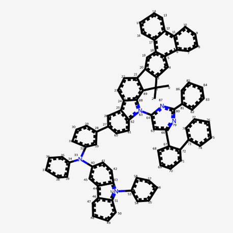 CC1(C)c2cc3c4ccccc4c4ccccc4c3cc2-c2ccc3c4cc(-c5cccc(N(c6ccccc6)c6ccc7c(c6)c6ccccc6n7-c6ccccc6)c5)ccc4n(-c4cc(-c5ccccc5-c5ccccc5)nc(-c5ccccc5)n4)c3c21